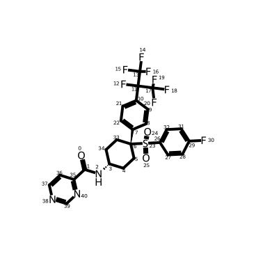 O=C(N[C@H]1CC[C@@](c2ccc(C(F)(C(F)(F)F)C(F)(F)F)cc2)(S(=O)(=O)c2ccc(F)cc2)CC1)c1ccncn1